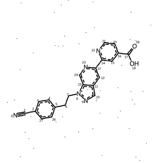 N#Cc1ccc(CCn2ncc3cc(-c4cc(C(=O)O)ccn4)ncc32)cc1